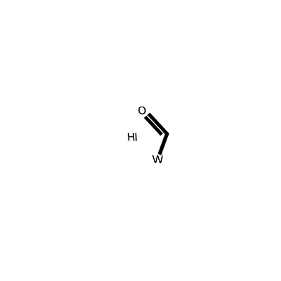 I.O=[CH][W]